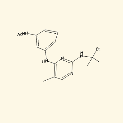 CCC(C)(C)Nc1ncc(C)c(Nc2cccc(NC(C)=O)c2)n1